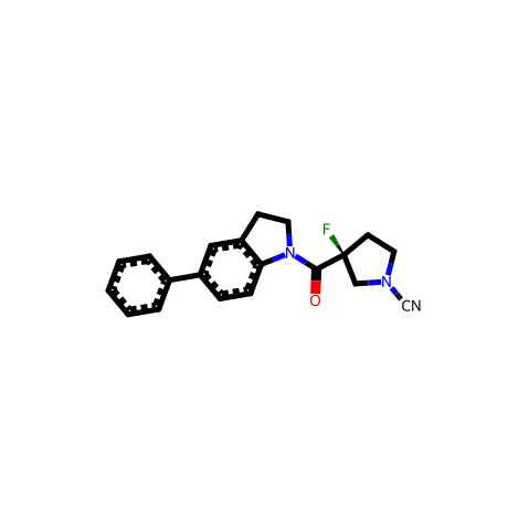 N#CN1CC[C@@](F)(C(=O)N2CCc3cc(-c4ccccc4)ccc32)C1